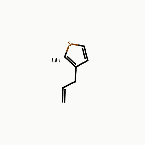 C=CCc1ccsc1.[LiH]